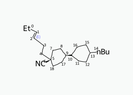 CC/C=C/CC[C@]1(C#N)CC[C@@H](C2CCC(CCCC)CC2)CC1